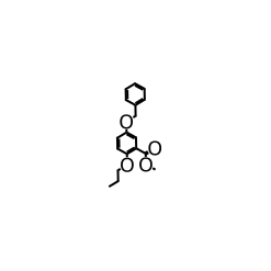 CCCOc1ccc(OCc2ccccc2)cc1C(=O)OC